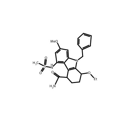 CCOC1CCC(C(N)=O)c2c1n(Cc1ccccc1)c1cc(OC)cc(NS(C)(=O)=O)c21